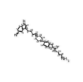 N#Cc1ccc2[nH]cc(CCCCN3CCN(c4ccc5oc(C(=O)NCCCN)cc5c4)CC3)c2c1